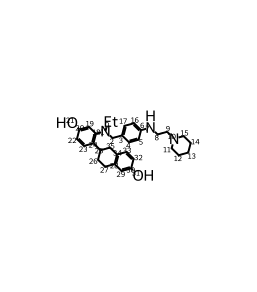 CCN(Cc1ccc(NCCN2CCCCC2)cc1)c1cc(O)ccc1C1CCc2cc(O)ccc2C1